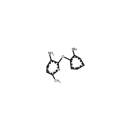 Cc1ccc(N)c(Oc2ccccc2C(C)(C)C)n1